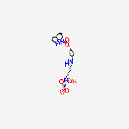 COC(=O)/C=C/C(=O)N(O)CCCCCCNCc1ccc(COC(=O)Nc2cccc3ccccc23)cc1